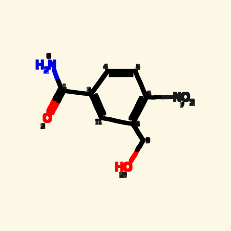 NC(=O)c1ccc([N+](=O)[O-])c(CO)c1